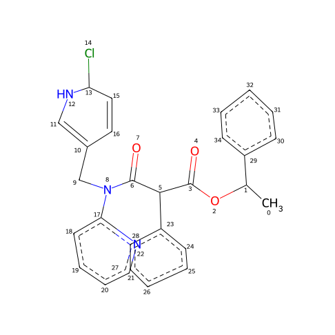 CC(OC(=O)C(C(=O)N(CC1=CNC(Cl)C=C1)c1ccccn1)c1ccccc1)c1ccccc1